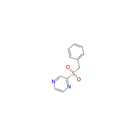 O=S(=O)(Cc1ccccc1)c1cnccn1